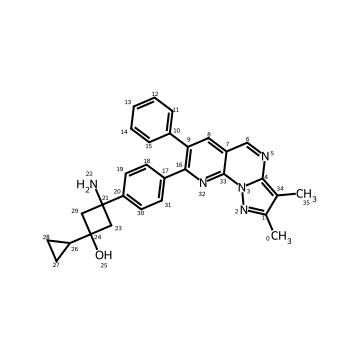 Cc1nn2c(ncc3cc(-c4ccccc4)c(-c4ccc(C5(N)CC(O)(C6CC6)C5)cc4)nc32)c1C